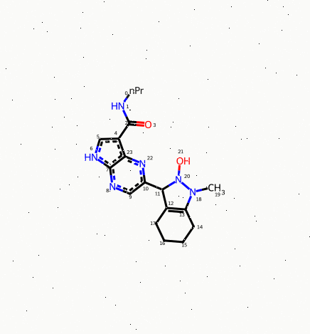 CCCNC(=O)c1c[nH]c2ncc(C3C4=C(CCCC4)N(C)N3O)nc12